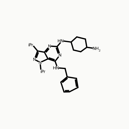 CC(C)c1nn(C(C)C)c2c(NCc3ccccc3)nc(NC3CCC(N)CC3)nc12